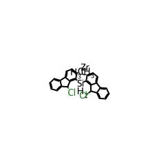 Cc1ccc2c(c1[SiH2]c1c(C)ccc3c1C(Cl)c1ccccc1-3)C(Cl)c1ccccc1-2.[Zr]